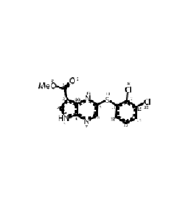 COC(=O)c1c[nH]c2ncc(Sc3cccc(Cl)c3Cl)nc12